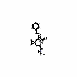 O=C1N2CC(N1OCc1ccccc1)C1(CC1)CC2/C=N/O